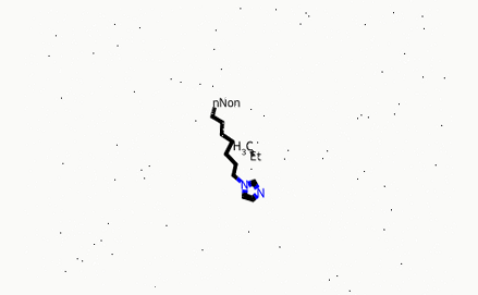 CCC.CCCCCCCCCCCCCCCCn1ccnc1